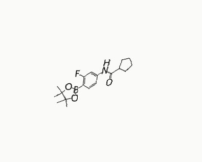 CC1(C)OB(c2ccc(NC(=O)C3CCCC3)cc2F)OC1(C)C